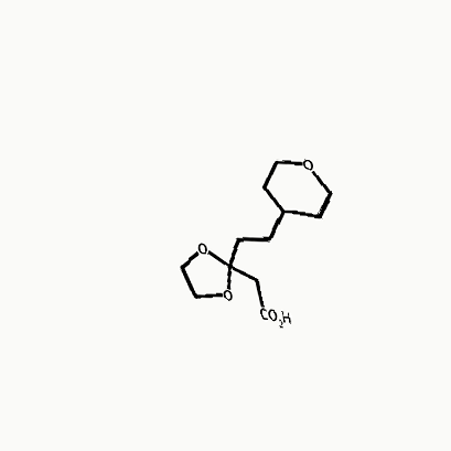 O=C(O)CC1(CCC2CCOCC2)OCCO1